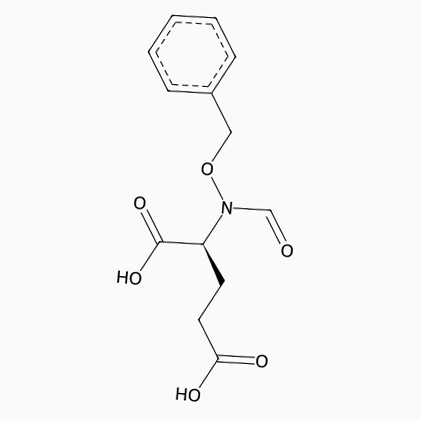 O=CN(OCc1ccccc1)[C@@H](CCC(=O)O)C(=O)O